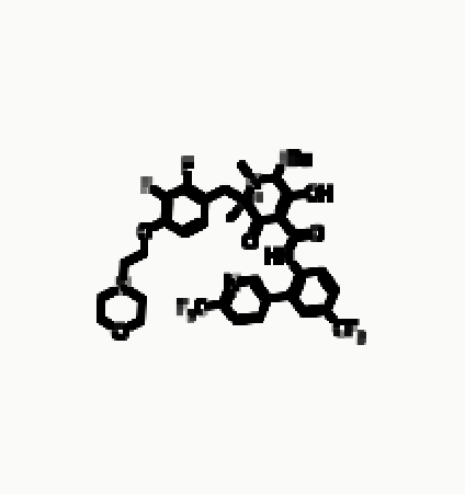 CN1C(C(C)(C)C)C(O)=C(C(=O)Nc2ccc(C(F)(F)F)cc2-c2ccc(C(F)(F)F)nc2)C(=O)[C@]1(C)Cc1ccc(OCCN2CCOCC2)c(F)c1F